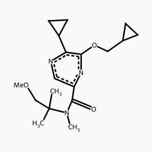 COCC(C)(C)N(C)C(=O)c1cnc(C2CC2)c(OCC2CC2)n1